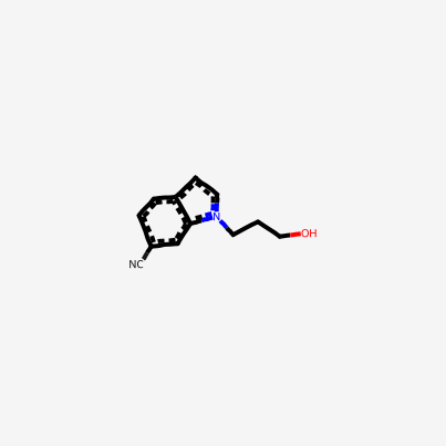 N#Cc1ccc2ccn(CCCO)c2c1